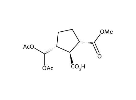 COC(=O)[C@H]1CC[C@@H](C(OC(C)=O)OC(C)=O)[C@@H]1C(=O)O